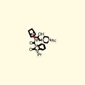 CC(=O)N1CCN(CC(O)CN2C3CCC2CC(NC(=O)n2c(=O)n(C(C)C)c4ccccc42)C3)CC1